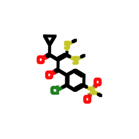 CSC(SC)=C(C(=O)c1ccc(S(C)(=O)=O)cc1Cl)C(=O)C1CC1